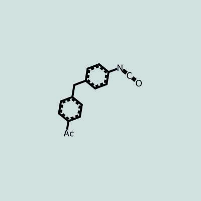 CC(=O)c1ccc(Cc2ccc(N=C=O)cc2)cc1